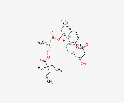 C=CCC(C)(CC)C(=O)OCC[C@H](C)C(=O)O[C@H]1C[C@@H](C)C=C2C=C[C@H](C)[C@H](CC[C@H]3C[C@@H](O)CC(=O)O3)[C@H]21